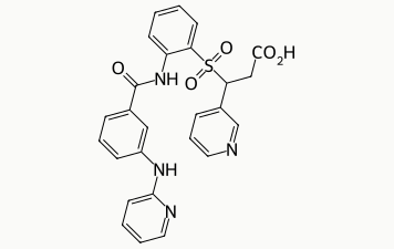 O=C(O)CC(c1cccnc1)S(=O)(=O)c1ccccc1NC(=O)c1cccc(Nc2ccccn2)c1